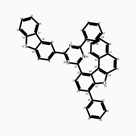 c1ccc(-c2nc(-c3ccc4sc5ccccc5c4c3)nc(-c3ccc(-c4ccccc4)c4oc5ccc6ccccc6c5c34)n2)cc1